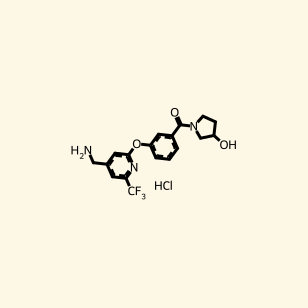 Cl.NCc1cc(Oc2cccc(C(=O)N3CCC(O)C3)c2)nc(C(F)(F)F)c1